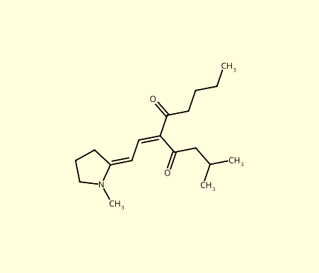 CCCCC(=O)/C(=C/C=C1\CCCN1C)C(=O)CC(C)C